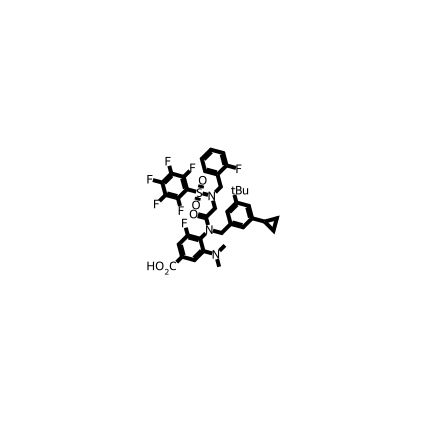 CN(C)c1cc(C(=O)O)cc(F)c1N(Cc1cc(C2CC2)cc(C(C)(C)C)c1)C(=O)CN(Cc1ccccc1F)S(=O)(=O)c1c(F)c(F)c(F)c(F)c1F